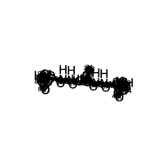 CC(=O)NC1C(OCCCCC(=O)NCCCNC(=O)CCOCC(COCCC(=O)NCCCNC(=O)CCCCOC2OC(COC(C)=O)C(OC(C)=O)C(OC(C)=O)C2NC(C)=O)NC(=O)OCc2ccccc2)OC(COC(C)=O)C(OC(C)=O)C1OC(C)=O